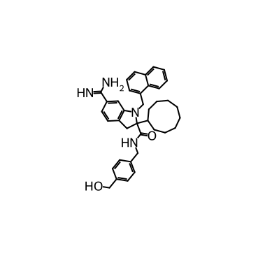 N=C(N)c1ccc2c(c1)N(Cc1cccc3ccccc13)C(C(=O)NCc1ccc(CO)cc1)(C1CCCCCCCC1)C2